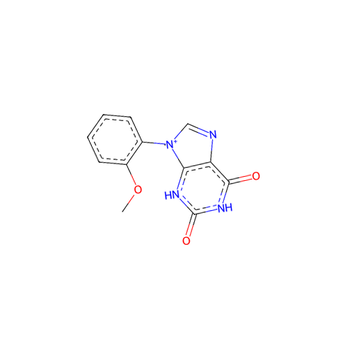 COc1ccccc1[N+]1C=Nc2c1[nH]c(=O)[nH]c2=O